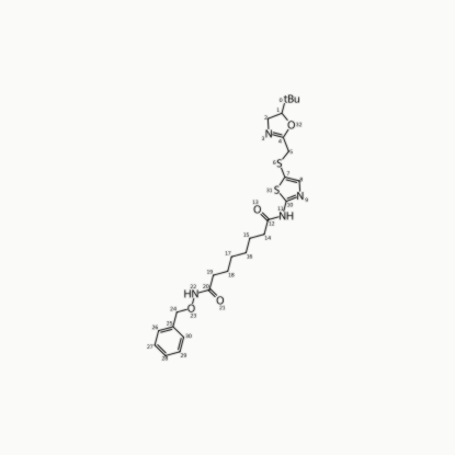 CC(C)(C)C1CN=C(CSc2cnc(NC(=O)CCCCCCC(=O)NOCc3ccccc3)s2)O1